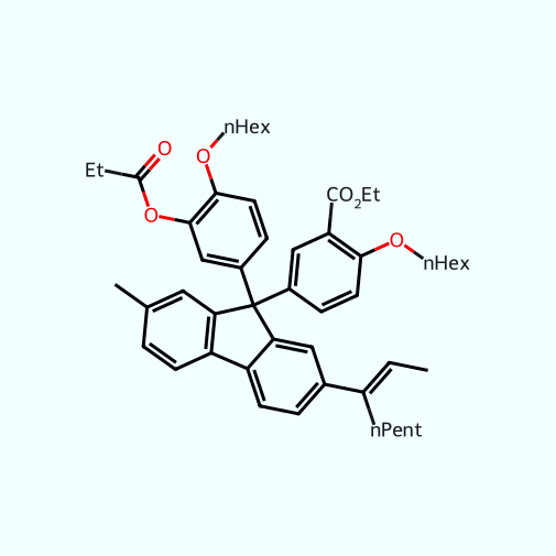 CC=C(CCCCC)c1ccc2c(c1)C(c1ccc(OCCCCCC)c(OC(=O)CC)c1)(c1ccc(OCCCCCC)c(C(=O)OCC)c1)c1cc(C)ccc1-2